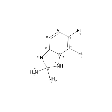 CCC1=C(CC)N2NC(N)(N)N=C2C=C1